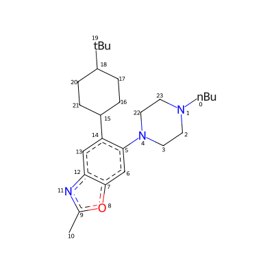 CCCCN1CCN(c2cc3oc(C)nc3cc2C2CCC(C(C)(C)C)CC2)CC1